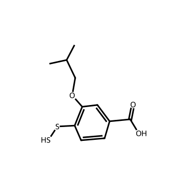 CC(C)COc1cc(C(=O)O)ccc1SS